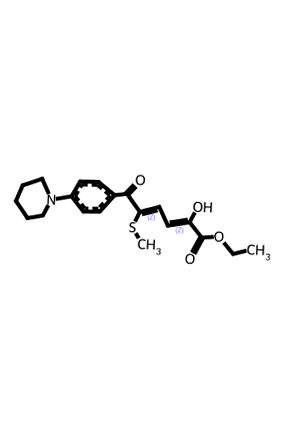 CCOC(=O)/C(O)=C/C=C(\SC)C(=O)c1ccc(N2CCCCC2)cc1